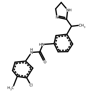 Cc1ccc(NC(=O)Nc2cccc(C(C)C3=NCCN3)c2)cc1Cl